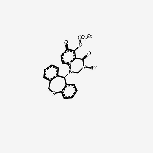 CCOC(=O)Oc1c2n(ccc1=O)N([C@H]1c3ccccc3CSc3ccccc31)CN(C(C)C)C2=O